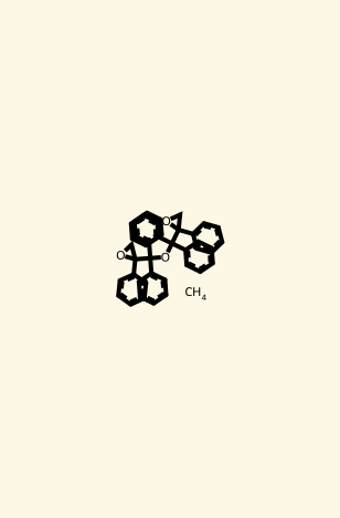 C.c1ccc(C2(C(OC(c3ccccc3)(c3ccccc3)C3(c4ccccc4)CO3)(c3ccccc3)c3ccccc3)CO2)cc1